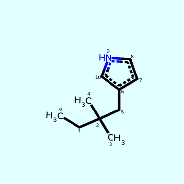 CCC(C)(C)Cc1cc[nH]c1